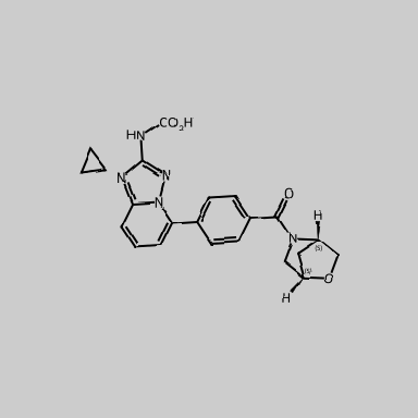 C1CC1.O=C(O)Nc1nc2cccc(-c3ccc(C(=O)N4C[C@@H]5C[C@H]4CO5)cc3)n2n1